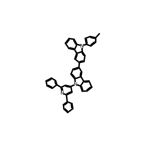 Cc1ccc(-n2c3ccccc3c3cc(-c4ccc5c(c4)c4ccccc4n5-c4cc(-c5ccccc5)nc(-c5ccccc5)c4)ccc32)cc1